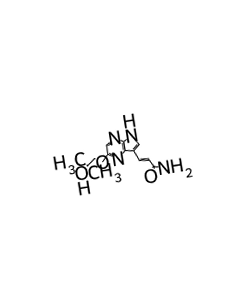 CC(C)(O)COc1cnc2[nH]cc(C=CC(N)=O)c2n1